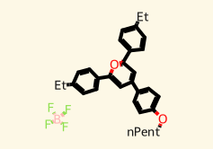 CCCCCOc1ccc(-c2cc(-c3ccc(CC)cc3)[o+]c(-c3ccc(CC)cc3)c2)cc1.F[B-](F)(F)F